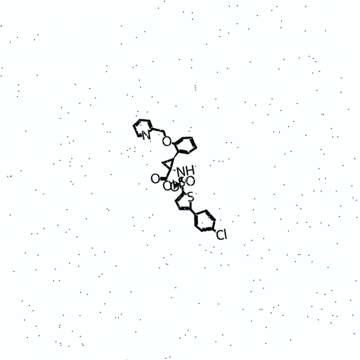 O=C(O)[C@@]1(NS(=O)(=O)c2ccc(-c3ccc(Cl)cc3)s2)C[C@H]1c1ccccc1OCc1ccccn1